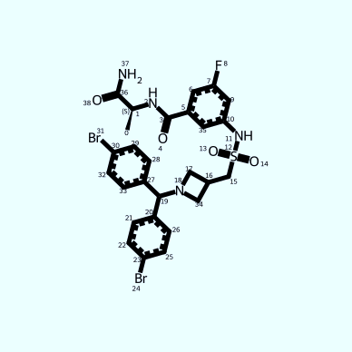 C[C@H](NC(=O)c1cc(F)cc(NS(=O)(=O)CC2CN(C(c3ccc(Br)cc3)c3ccc(Br)cc3)C2)c1)C(N)=O